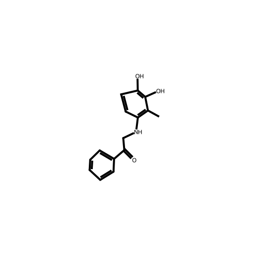 Cc1c(NCC(=O)c2ccccc2)ccc(O)c1O